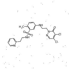 Cc1ccc(NCCn2ncc(Cl)c(Cl)c2=O)cc1S(=O)(=O)NCCc1ccccn1